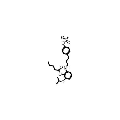 CCCCC(=O)Oc1c(NCCCc2ccc(OS(C)(=O)=O)cc2)cccc1OC(C)C